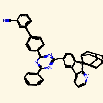 N#Cc1cccc(-c2ccc(-c3nc(-c4ccccc4)nc(-c4ccc5c(c4)-c4cccnc4C54C5CC6CC(C5)CC4C6)n3)cc2)c1